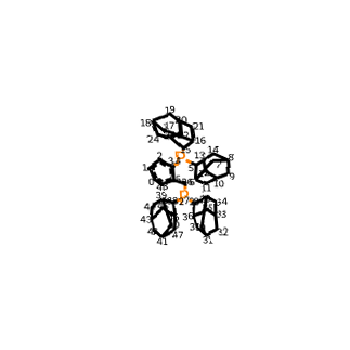 c1ccc(P(C2C3CC4CC(C3)CC2C4)C2C3CC4CC(C3)CC2C4)c(CP(C2C3CC4CC(C3)CC2C4)C2C3CC4CC(C3)CC2C4)c1